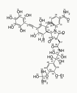 Bc1c(O)c(C#Cc2c(O)c(O)c(O)c(O)c2O)c(O)c(B)c1[C@H]1N(c2cccc(C(N)=O)c2)C(=O)[C@@H](CC(=O)NC(O)(O)C(O)(O)c2ccc(OC(B)(B)O)c(OCC)c2)[S+]1[O-]